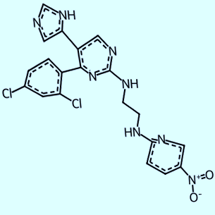 O=[N+]([O-])c1ccc(NCCNc2ncc(-c3cnc[nH]3)c(-c3ccc(Cl)cc3Cl)n2)nc1